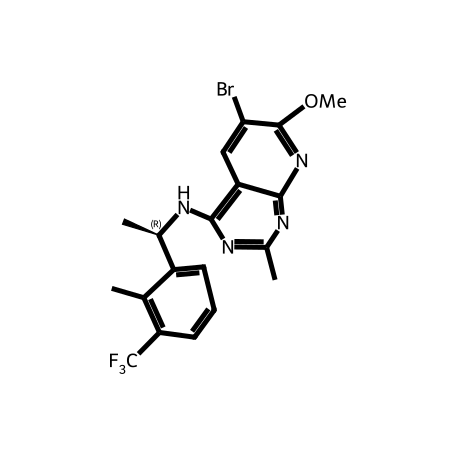 COc1nc2nc(C)nc(N[C@H](C)c3cccc(C(F)(F)F)c3C)c2cc1Br